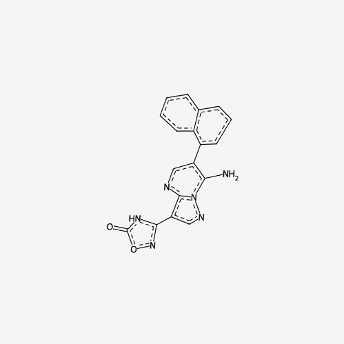 Nc1c(-c2cccc3ccccc23)cnc2c(-c3noc(=O)[nH]3)cnn12